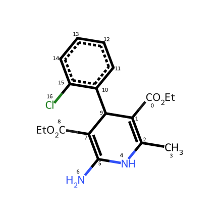 CCOC(=O)C1=C(C)NC(N)=C(C(=O)OCC)C1c1ccccc1Cl